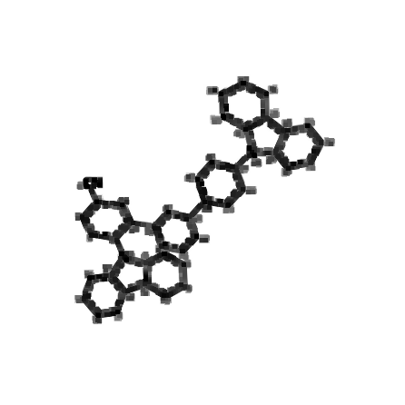 N#Cc1ccc(-n2c3ccccc3c3ccccc32)c(-c2cccc(-c3ccc(-n4c5ccccc5c5ccccc54)cc3)c2)c1